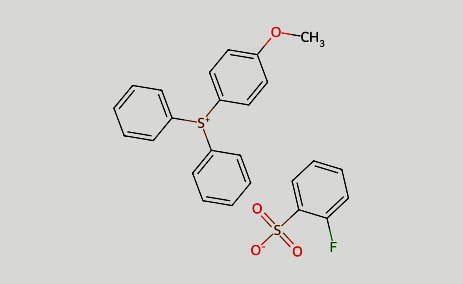 COc1ccc([S+](c2ccccc2)c2ccccc2)cc1.O=S(=O)([O-])c1ccccc1F